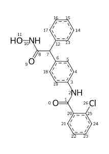 O=C(Nc1ccc(C(C(=O)NO)c2ccccc2)cc1)c1ccccc1Cl